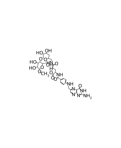 CO[C@H]1OC(CO)[C@@H](O[C@H]2OC(CNC(=O)CCC(NC(=O)c3ccc(NCc4cnc5nc(N)[nH]c(=O)c5n4)cc3)C(=O)O)C[C@H](O)C2O)[C@H](O)C1O